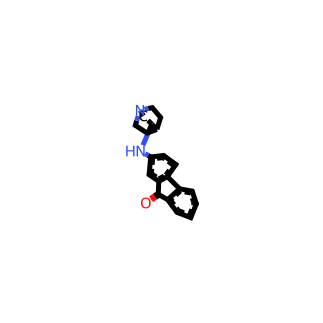 O=C1c2ccccc2-c2ccc(NC3CN4CCC3CC4)cc21